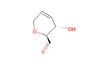 O=C[C@H]1OCC=C[C@@H]1O